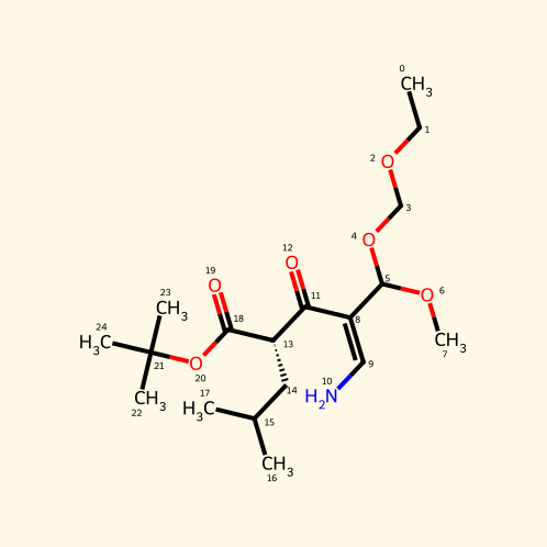 CCOCOC(OC)C(=CN)C(=O)[C@H](CC(C)C)C(=O)OC(C)(C)C